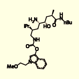 CCCCNC(=O)[C@H](C)C[C@H](O)[C@@H](N)C[C@@H](CNC(=O)Oc1cn(CCOC)c2ccccc12)C(C)C